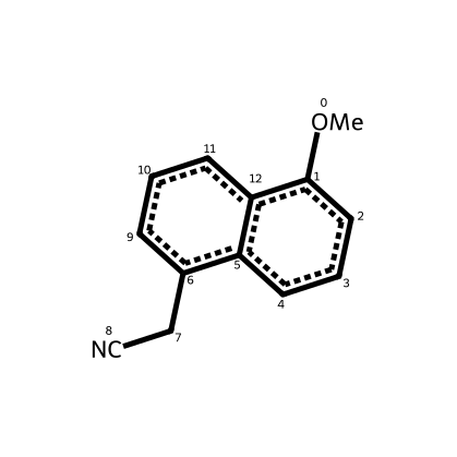 COc1cccc2c(CC#N)cccc12